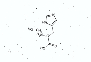 Cl.N[C@H](Cc1cnc[nH]1)C(=O)O.O